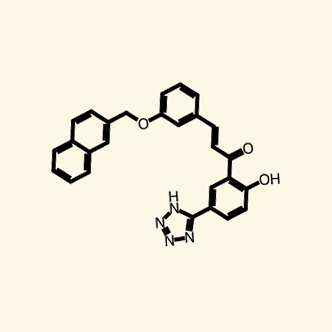 O=C(C=Cc1cccc(OCc2ccc3ccccc3c2)c1)c1cc(-c2nnn[nH]2)ccc1O